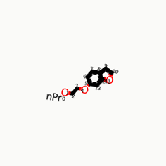 CCCOCCOc1ccc2ccoc2c1